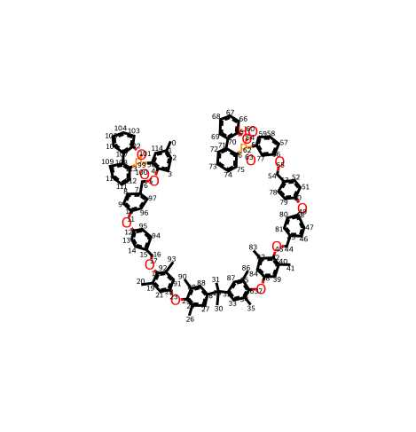 Cc1ccc(OCc2ccc(Oc3ccc(COc4c(C)cc(Oc5c(C)cc(C(C)(C)c6cc(C)c(Oc7cc(C)c(OCc8ccc(Oc9ccc(COc%10ccc(O)c(P%11(=O)Oc%12ccccc%12-c%12ccccc%12%11)c%10)cc9)cc8)c(C)c7)c(C)c6)cc5C)cc4C)cc3)cc2)c(P2(=O)Oc3ccccc3-c3ccccc32)c1